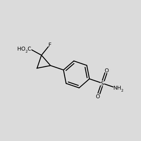 NS(=O)(=O)c1ccc(C2CC2(F)C(=O)O)cc1